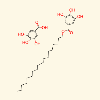 CCCCCCCCCCCCCCCCCCOC(=O)c1cc(O)c(O)c(O)c1.O=C(O)c1cc(O)c(O)c(O)c1